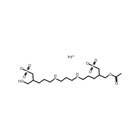 CC(=O)OCC(CCCPCCCPCCCC(CO)CS(=O)(=O)[O-])CS(=O)(=O)[O-].[Pd+2]